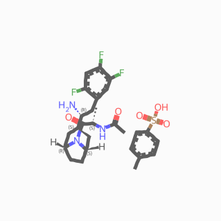 CC(=O)N[C@@H](C)C(=O)N1[C@@H]2CC[C@H]1C[C@H]([C@H](N)Cc1cc(F)c(F)cc1F)C2.Cc1ccc(S(=O)(=O)O)cc1